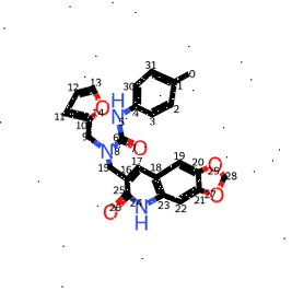 Cc1ccc(NC(=O)N(Cc2ccco2)Cc2cc3cc4c(cc3[nH]c2=O)OCO4)cc1